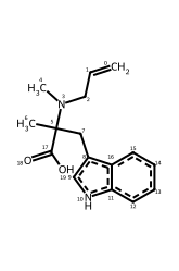 C=CCN(C)C(C)(Cc1c[nH]c2ccccc12)C(=O)O